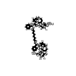 C[C@@H](C(=S)N[C@H]1CCS[C@H]2CC(C)(C)[C@@H](C(=O)N[C@H](COCCCCCCOC[C@@H](NC(=O)[C@H]3N4C(=O)[C@@H](NC(=S)[C@H](C)N(C)C(=O)OC(C)(C)C)CCS[C@H]4CC3(C)C)c3ccccc3)c3ccccc3)N2C1=O)N(C)C(=O)OC(C)(C)C